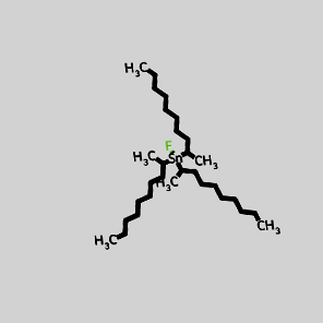 CCCCCCCC[CH](C)[Sn]([F])([CH](C)CCCCCCCC)[CH](C)CCCCCCCC